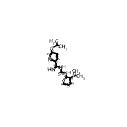 CC(C)Oc1ccc(C(=N)NC(=S)Nc2ncccc2N(C)C)nc1